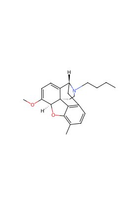 CCCCN1CC[C@@]23C4=CC=C(OC)[C@@H]2Oc2c(C)ccc(c23)C[C@H]41